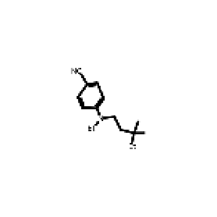 CCN(CCC(C)(C)CC)c1ccc(C#N)cc1